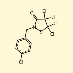 O=C1N(Cc2ccc(Cl)cc2)SC(Cl)(Cl)C1(Cl)Cl